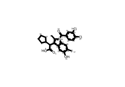 Cc1c(C(C(=O)O)C2CCCC2)c2cc(O)c(F)cc2n1C(=O)c1ccc(Cl)c(Cl)c1